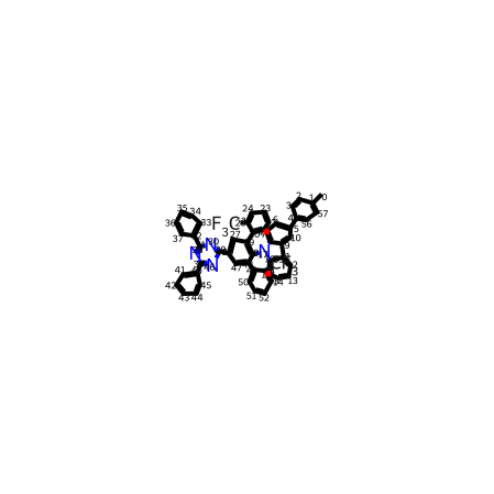 Cc1ccc(-c2ccc3c(c2)c2ccccc2n3-c2c(-c3ccccc3C(F)(F)F)cc(-c3nc(-c4ccccc4)nc(-c4ccccc4)n3)cc2-c2ccccc2C(F)(F)F)cc1